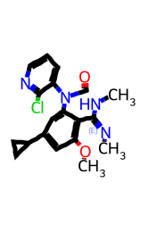 C/N=C(/NC)c1c(OC)cc(C2CC2)cc1N(C=O)c1cccnc1Cl